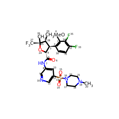 COc1c([C@H]2[C@H](C(=O)Nc3cncc(S(=O)(=O)N4CCN(C)CC4)c3)O[C@@](C)(C(F)(F)F)[C@H]2C)ccc(F)c1F